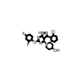 OC1CCN(c2nc(Oc3ccc(F)cc3F)nc3[nH]nc(-c4ccccc4Cl)c23)CC1